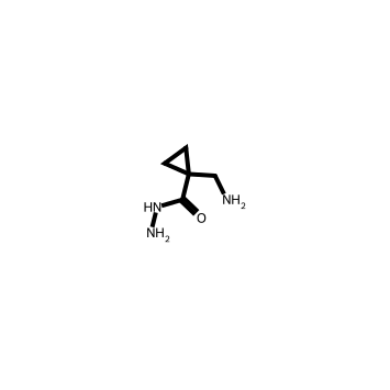 NCC1(C(=O)NN)CC1